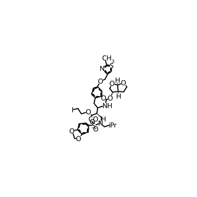 Cc1nc(COc2ccc(CC(NC(=O)O[C@H]3CO[C@H]4OCC[C@H]43)[C@@H](CN(CC(C)C)S(=O)(=O)c3ccc4c(c3)OCO4)[C@H](OCCI)C(=O)O)cc2)cs1